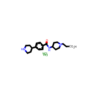 Cl.Cl.O=C(O)CCN1CCC(NC(=O)c2ccc(C3CCNCC3)cc2)CC1